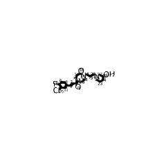 O=C(C=Cc1ccc(F)c(Cl)c1)N1CCC(=O)N(CCCN2CCCC(O)C2)CC1